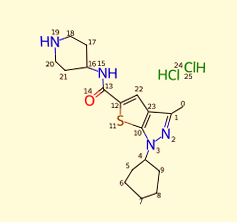 Cc1nn(C2CCCCC2)c2sc(C(=O)NC3CCNCC3)cc12.Cl.Cl